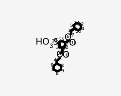 O=C(OCCC1CCCCC1)C1=CC(C(=O)OCCC2CCCCC2)CC(S(=O)(=O)O)=C1